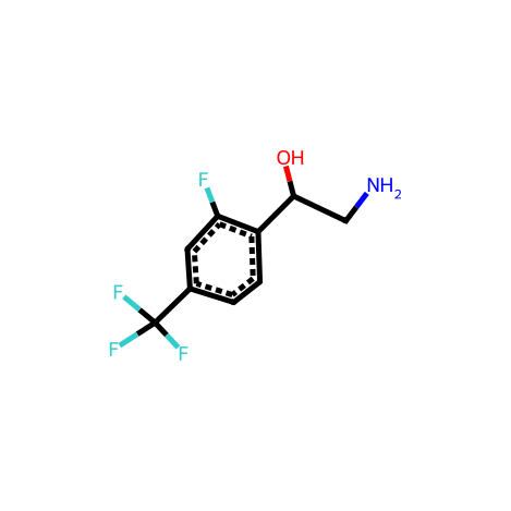 NCC(O)c1ccc(C(F)(F)F)cc1F